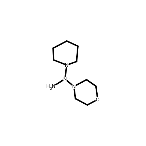 N[N+](N1CCCCC1)N1CCOCC1